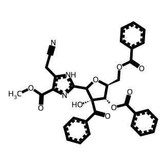 COC(=O)c1nc(C2O[C@@H](COC(=O)c3ccccc3)[C@H](OC(=O)c3ccccc3)[C@@]2(O)C(=O)c2ccccc2)[nH]c1CC#N